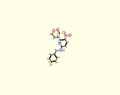 O=[N+]([O-])c1ccc(NCc2ccc(F)cc2)nc1N1CCOCC1